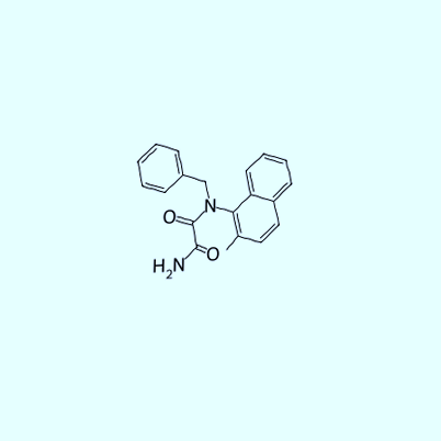 Cc1ccc2ccccc2c1N(Cc1ccccc1)C(=O)C(N)=O